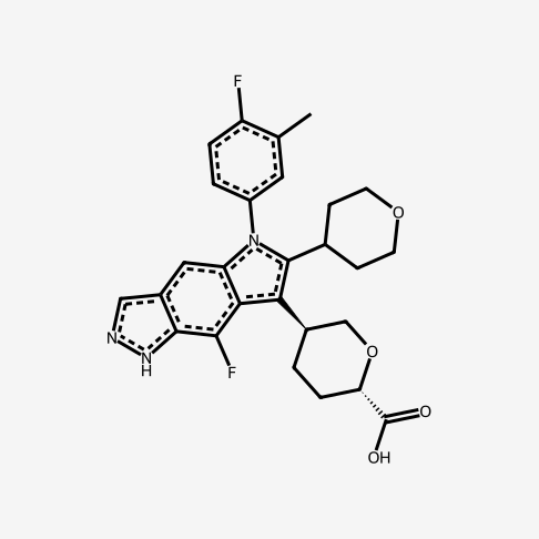 Cc1cc(-n2c(C3CCOCC3)c([C@@H]3CC[C@@H](C(=O)O)OC3)c3c(F)c4[nH]ncc4cc32)ccc1F